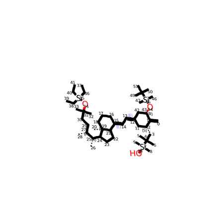 C=C1[C@H](CC(C)(C)[Si](C)(C)O)C/C(=C\C=C2/CCC[C@@]3(C)C2CCC3[C@H](C)[C@H](C)CCC(C)(C)O[Si](CC)(CC)CC)C[C@H]1O[Si](C)(C)C(C)(C)C